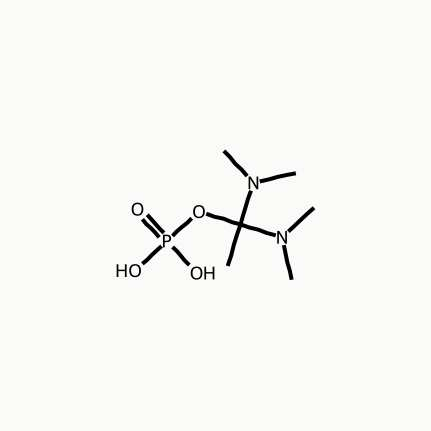 CN(C)C(C)(OP(=O)(O)O)N(C)C